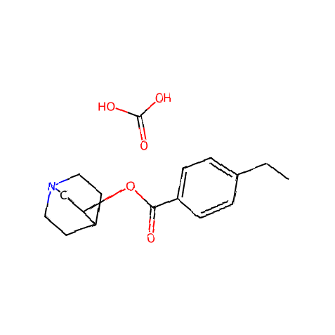 CCc1ccc(C(=O)OC2CN3CCC2CC3)cc1.O=C(O)O